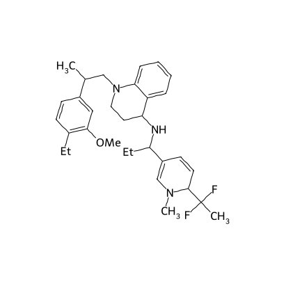 CCc1ccc(C(C)CN2CCC(NC(CC)C3=CN(C)C(C(C)(F)F)C=C3)c3ccccc32)cc1OC